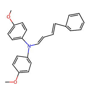 COc1ccc(N(/C=C/C=Cc2ccccc2)c2ccc(OC)cc2)cc1